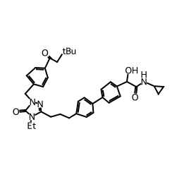 CCn1c(CCCc2ccc(-c3ccc(C(O)C(=O)NC4CC4)cc3)cc2)nn(Cc2ccc(C(=O)CC(C)(C)C)cc2)c1=O